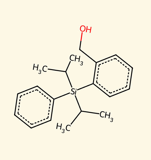 CC(C)[Si](c1ccccc1)(c1ccccc1CO)C(C)C